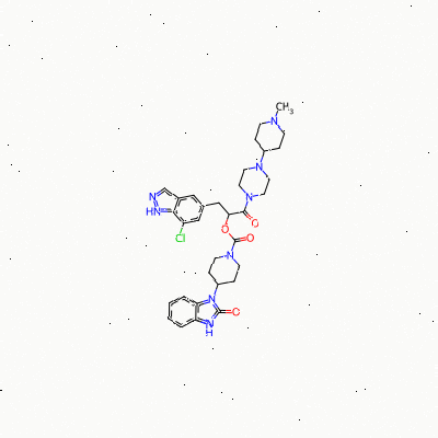 CN1CCC(N2CCN(C(=O)C(Cc3cc(Cl)c4[nH]ncc4c3)OC(=O)N3CCC(n4c(=O)[nH]c5ccccc54)CC3)CC2)CC1